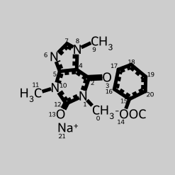 Cn1c(=O)c2c(ncn2C)n(C)c1=O.O=C([O-])c1ccccc1.[Na+]